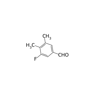 Cc1cc(C=O)cc(F)c1C